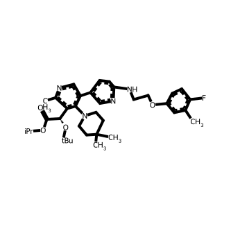 Cc1cc(OCCNc2ccc(-c3cnc(C)c([C@H](OC(C)(C)C)C(=O)OC(C)C)c3N3CCC(C)(C)CC3)cn2)ccc1F